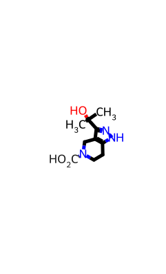 CC(C)(O)c1n[nH]c2c1CN(C(=O)O)CC2